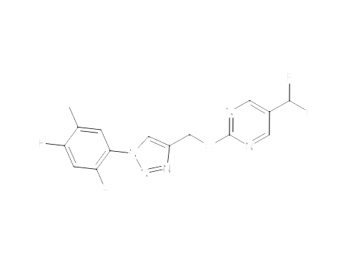 Cc1cc(-n2cc(COc3ncc(C(F)F)cn3)nn2)c(F)cc1F